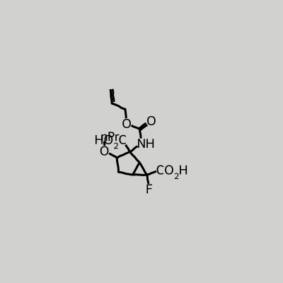 C=CCOC(=O)NC1(C(=O)O)C(OCCC)CC2C1C2(F)C(=O)O